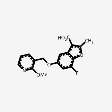 COc1ncccc1COc1cc(F)c2oc(C)c(C(=O)O)c2c1